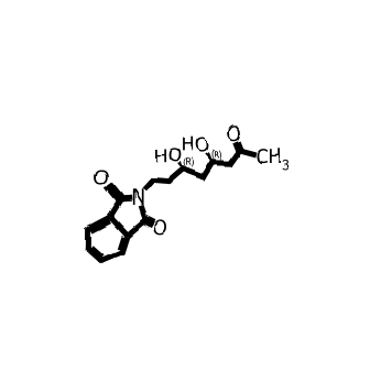 CC(=O)C[C@H](O)C[C@H](O)CCN1C(=O)c2ccccc2C1=O